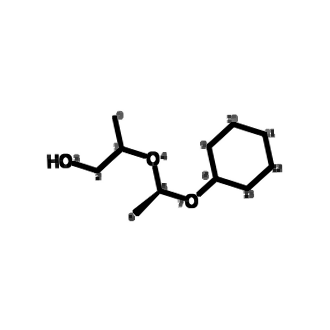 CC(CO)O[C@H](C)OC1CCCCC1